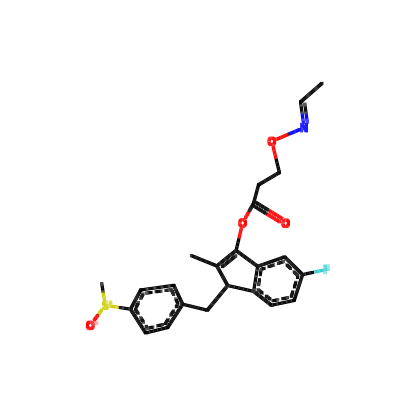 CC=NOCCC(=O)OC1=C(C)C(Cc2ccc([S+](C)[O-])cc2)c2ccc(F)cc21